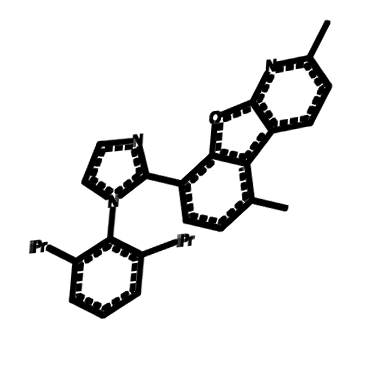 Cc1ccc2c(n1)oc1c(-c3nccn3-c3c(C(C)C)cccc3C(C)C)ccc(C)c12